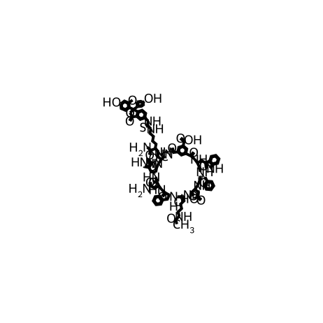 CC(=O)NCCCCC1NC(=O)C(CC(=O)O)NC(=O)[C@@H](Cc2ccccc2)NC(=O)C(Cc2c[nH]c3ccccc23)NC(=O)c2cc(C(=O)O)cc(c2)C(=O)NCC(C(=O)NC(CCCCNC(=S)Nc2ccc3c(c2)C(=O)OC32c3ccc(O)cc3Oc3cc(O)ccc32)C(N)=O)NC(=O)C(Cc2c[nH]cn2)NC(=O)C(CC(N)=O)NC(=O)C(Cc2ccccc2)NC1=O